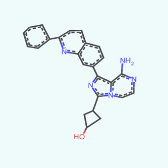 Nc1nccn2c(C3CC(O)C3)nc(-c3ccc4ccc(-c5ccccc5)nc4c3)c12